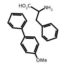 COc1ccc(-c2ccccc2)cc1.NC(Cc1ccccc1)C(=O)O